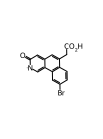 O=C(O)Cc1cc2c(c3cc(Br)ccc13)=C[N]C(=O)C=2